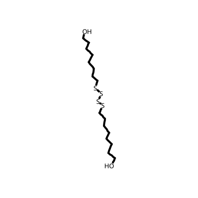 OCCCCCCCCSSSSCCCCCCCCO